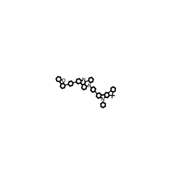 CC1(C)c2ccccc2-c2cc3c4cc(-c5ccc(N6c7ccccc7-c7nc8ccc(-c9ccc(-c%10cccc%11c%10oc%10ccccc%10%11)cc9)cc8c8cccc6c78)cc5)ccc4n(-c4ccccc4)c3cc21